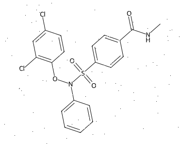 CNC(=O)c1ccc(S(=O)(=O)N(Oc2ccc(Cl)cc2Cl)c2ccccc2)cc1